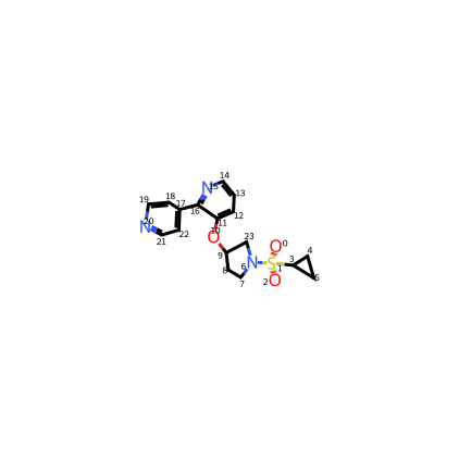 O=S(=O)(C1CC1)N1CCC(Oc2cccnc2-c2ccncc2)C1